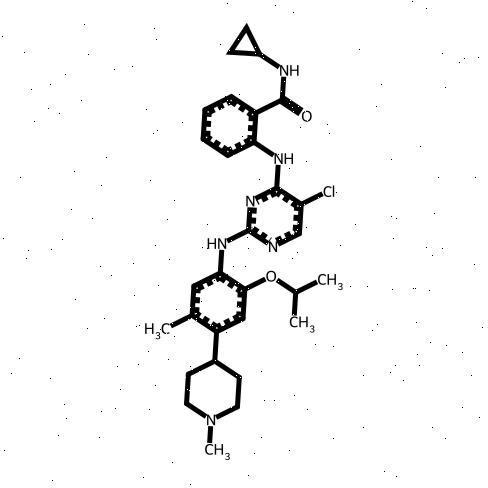 Cc1cc(Nc2ncc(Cl)c(Nc3ccccc3C(=O)NC3CC3)n2)c(OC(C)C)cc1C1CCN(C)CC1